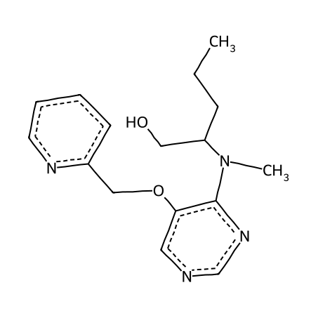 CCCC(CO)N(C)c1ncncc1OCc1ccccn1